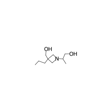 CCCC1(CO)CN(C(C)CO)C1